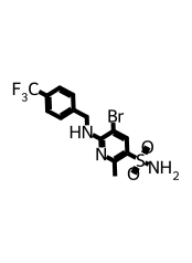 Cc1nc(NCc2ccc(C(F)(F)F)cc2)c(Br)cc1S(N)(=O)=O